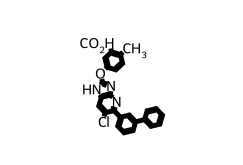 Cc1ccc(Oc2nc3nc(-c4cccc(-c5ccccc5)c4)c(Cl)cc3[nH]2)cc1C(=O)O